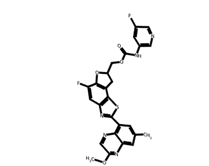 COc1cnc2c(-c3nc4cc(F)c5c(c4s3)CC(COC(=O)Nc3cncc(F)c3)O5)cc(C)cc2n1